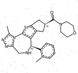 Cc1ccccc1[C@H]1NCc2nnc(C)n2-c2sc3c(c21)C[C@H](C(=O)N1CCOCC1)C3